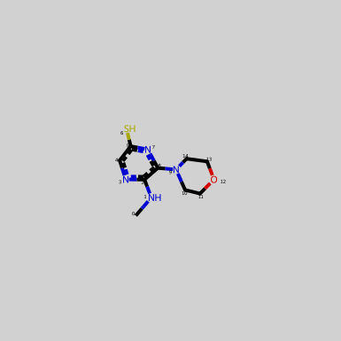 CNc1ncc(S)nc1N1CCOCC1